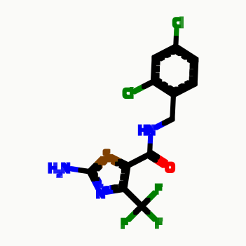 Nc1nc(C(F)(F)F)c(C(=O)NCc2ccc(Cl)cc2Cl)s1